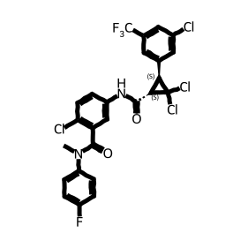 CN(C(=O)c1cc(NC(=O)[C@@H]2[C@@H](c3cc(Cl)cc(C(F)(F)F)c3)C2(Cl)Cl)ccc1Cl)c1ccc(F)cc1